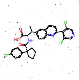 CC(c1ccc2nc(-c3c(Cl)cncc3Cl)ccc2c1)[C@H](NC(=O)C1(c2ccc(Cl)cc2)CCCC1)C(=O)O